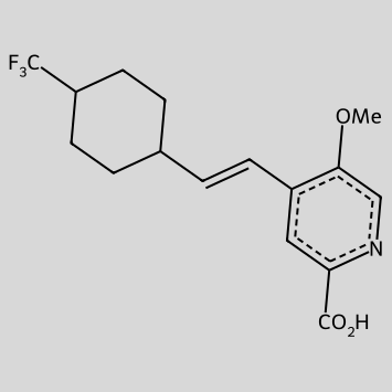 COc1cnc(C(=O)O)cc1C=CC1CCC(C(F)(F)F)CC1